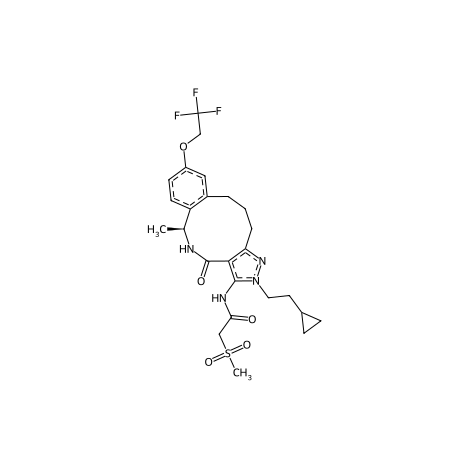 C[C@@H]1NC(=O)c2c(nn(CCC3CC3)c2NC(=O)CS(C)(=O)=O)CCCc2cc(OCC(F)(F)F)ccc21